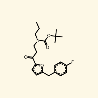 CCCN(CCC(=O)c1ccc(Cc2ccc(F)cc2)o1)C(=O)OC(C)(C)C